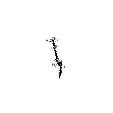 C=C(C)C(=O)OCCNC(=O)OCCCCCCCOC(=O)NCC1(C)CCCC(NC(=O)OCC(F)OCCF)C1